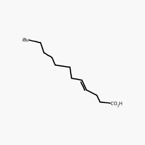 CCC(C)CCCCCC/C=C/CCC(=O)O